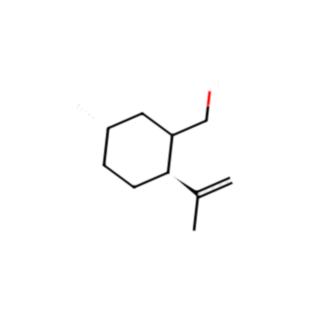 C=C(C)[C@H]1CC[C@H](C)CC1CO